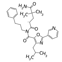 CC(C)Cc1nc(-c2cccnc2)oc1C(=O)N(CCCc1ccccc1)C(=O)[CH]CC(C)(C)C(N)=O